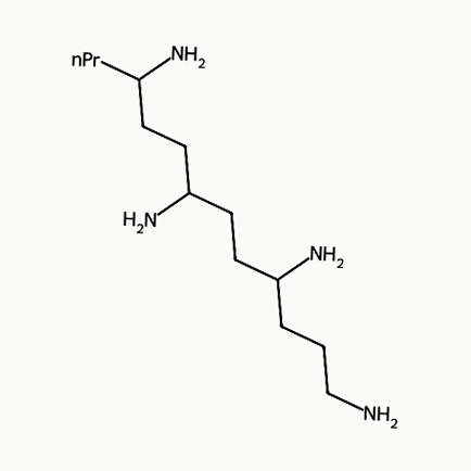 CCCC(N)CCC(N)CCC(N)CCCN